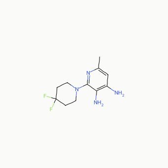 Cc1cc(N)c(N)c(N2CCC(F)(F)CC2)n1